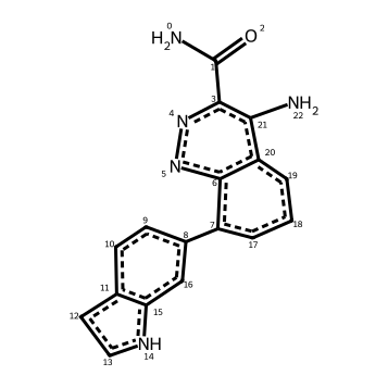 NC(=O)c1nnc2c(-c3ccc4cc[nH]c4c3)cccc2c1N